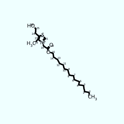 CCCCCCCCCCCCCCCCOC(=O)C[n+]1csc(CCO)c1C